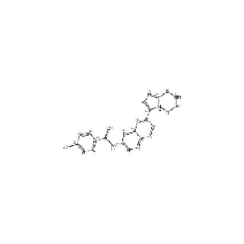 O=C(Nc1ncc2ccc(-c3cnc4n3CCNC4)cc2n1)c1ccc(F)cc1